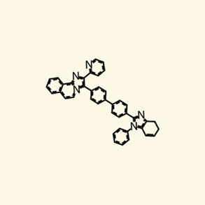 C1=Cc2c(nc(-c3ccc(-c4ccc(-c5c(-c6ccccn6)nc6c7ccccc7ccn56)cc4)cc3)n2-c2ccccc2)CC1